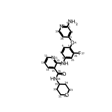 Nc1cc(Oc2ccc(Nc3ncccc3C(=O)NC3CCOCC3)cc2F)ccn1